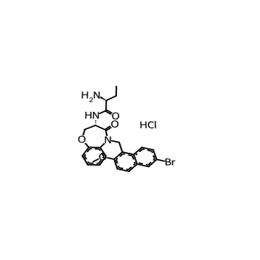 CC[C@H](N)C(=O)N[C@H]1COc2ccccc2N(Cc2c(OC)ccc3cc(Br)ccc23)C1=O.Cl